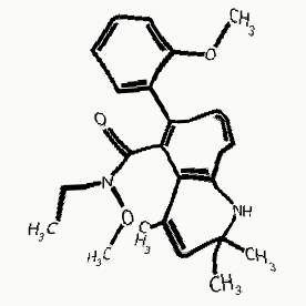 CCN(OC)C(=O)c1c(-c2ccccc2OC)ccc2c1C(C)=CC(C)(C)N2